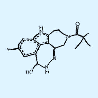 CC(C)(C)C(=O)N1CC2=NNC(O)c3cc(F)cc4[nH]c(c2c34)C1